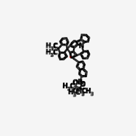 CC1(C)c2ccccc2C2(c3ccccc31)c1ccc(-c3ccc4ccc(B5OC(C)(C)C(C)(C)O5)cc4c3)c3c1-c1c2ccc2c4ccccc4n(c12)-c1ccccc1-3